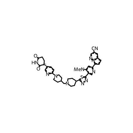 CNc1cc(-c2ccc3cc(C#N)cnn23)ncc1-c1nnc(C2CCN(CC3CCN(c4ccc([C@@H]5CCC(=O)NC5=O)cn4)CC3)CC2)s1